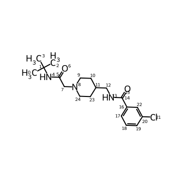 CC(C)(C)NC(=O)CN1CCC(CNC(=O)c2cccc(Cl)c2)CC1